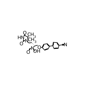 CC1(C)C(=O)NC(=O)N1CC[C@H](COc1ccc(-c2ccc(C#N)cc2)cc1)N(O)C=O